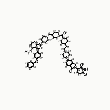 Nc1ncnc2c1c(-c1ccc(Oc3ccccc3)cc1)nn2C1CCN(CC2CCN(C(=O)N3CCC(CCN4CCN(c5ccc6c(c5)CN(C5CCC(=O)NC5=O)C6=O)CC4)CC3)CC2)CC1